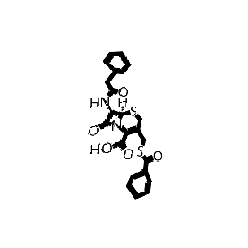 O=C(Cc1ccccc1)N[C@@H]1C(=O)N2C(C(=O)O)=C(CSC(=O)c3ccccc3)CS[C@H]12